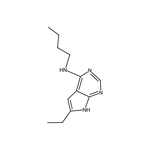 CCCCNc1ncnc2[nH]c(CC)cc12